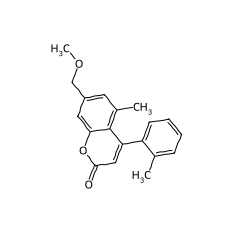 COCc1cc(C)c2c(-c3ccccc3C)cc(=O)oc2c1